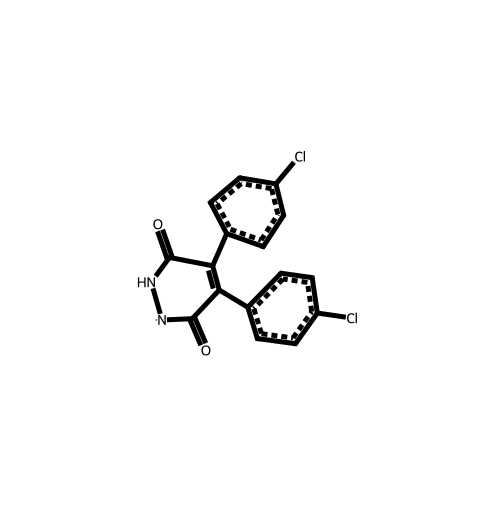 O=C1[N]NC(=O)C(c2ccc(Cl)cc2)=C1c1ccc(Cl)cc1